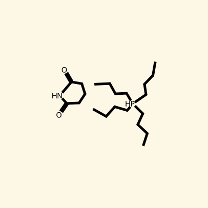 CCCC[PH](CCCC)(CCCC)CCCC.O=C1CCCC(=O)N1